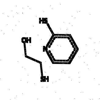 OCCS.Sc1ccccn1